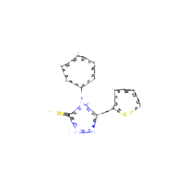 S=c1[nH]nc(-c2cccs2)n1-c1ccccc1